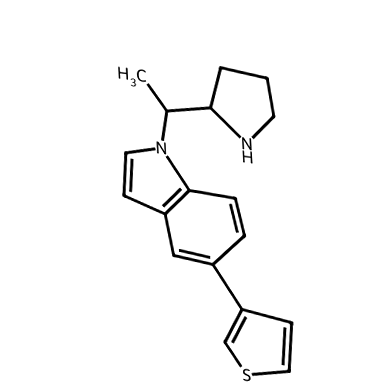 CC(C1CCCN1)n1ccc2cc(-c3ccsc3)ccc21